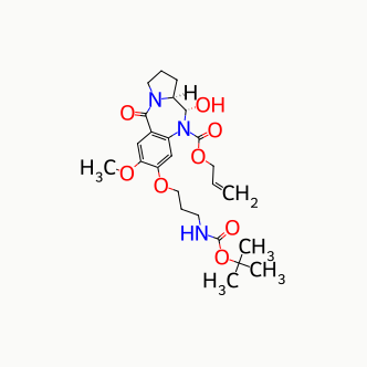 C=CCOC(=O)N1c2cc(OCCCNC(=O)OC(C)(C)C)c(OC)cc2C(=O)N2CCC[C@H]2[C@@H]1O